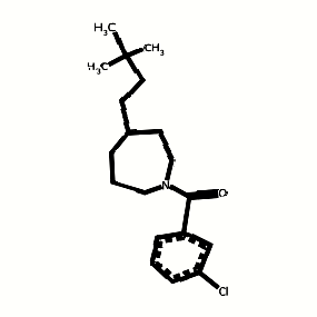 CC(C)(C)CCC1CCCN(C(=O)c2cccc(Cl)c2)CC1